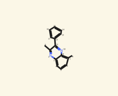 Cc1nc2cccc(C)c2nc1-c1ccccc1